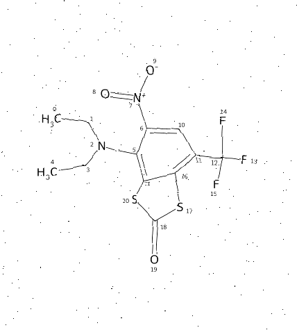 CCN(CC)c1c([N+](=O)[O-])cc(C(F)(F)F)c2sc(=O)sc12